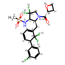 CS(=O)(=O)N[C@@H]1[C@H](CC2=CC=CC(c3cccc(F)c3)C2(F)F)N(C(=O)[C@H]2CCO2)CC1(F)F